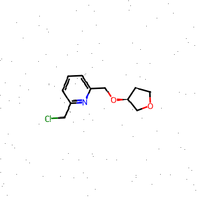 ClCc1cccc(CO[C@H]2CCOC2)n1